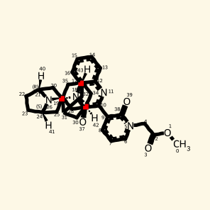 COC(=O)Cn1cccc(-c2nc3ccccc3n([C@H]3C[C@H]4CC[C@@H](C3)N4[C@@]34C[C@@H]5CC3C[C@@H](C5)C4)c2=O)c1=O